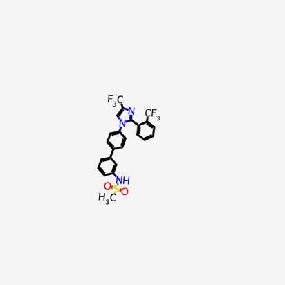 CS(=O)(=O)Nc1cccc(-c2ccc(-n3cc(C(F)(F)F)nc3-c3ccccc3C(F)(F)F)cc2)c1